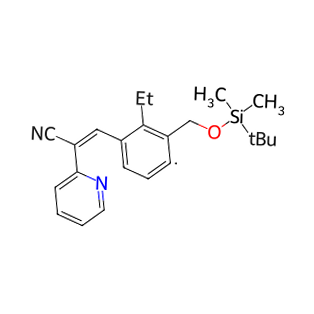 CCc1c(CO[Si](C)(C)C(C)(C)C)[c]ccc1C=C(C#N)c1ccccn1